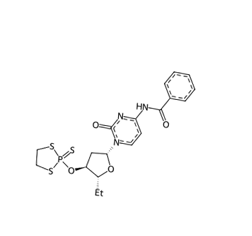 CC[C@H]1O[C@@H](n2ccc(NC(=O)c3ccccc3)nc2=O)C[C@@H]1OP1(=S)SCCS1